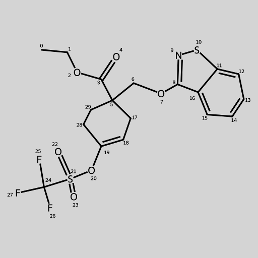 CCOC(=O)C1(COc2nsc3ccccc23)CC=C(OS(=O)(=O)C(F)(F)F)CC1